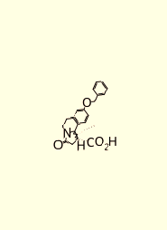 C[C@H]1CC23c4ccc(OCc5ccccc5)cc4CCN2C(=O)C[C@H]3[C@@H]1C(=O)O